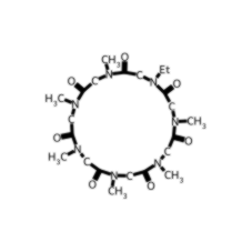 CCN1CC(=O)N(C)CC(=O)N(C)CC(=O)N(C)CC(=O)N(C)CC(=O)N(C)CC(=O)N(C)CC1=O